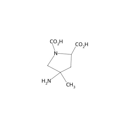 CC1(N)CC(C(=O)O)N(C(=O)O)C1